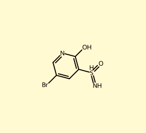 N=[SH](=O)c1cc(Br)cnc1O